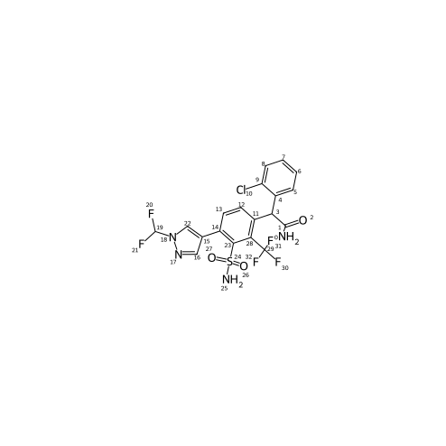 NC(=O)C(c1ccccc1Cl)c1ccc(-c2cnn(C(F)F)c2)c(S(N)(=O)=O)c1C(F)(F)F